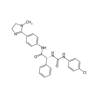 CN1CCN=C1c1ccc(NC(=O)[C@H](NC(=O)Nc2ccc(Cl)cc2)c2ccccc2)cc1